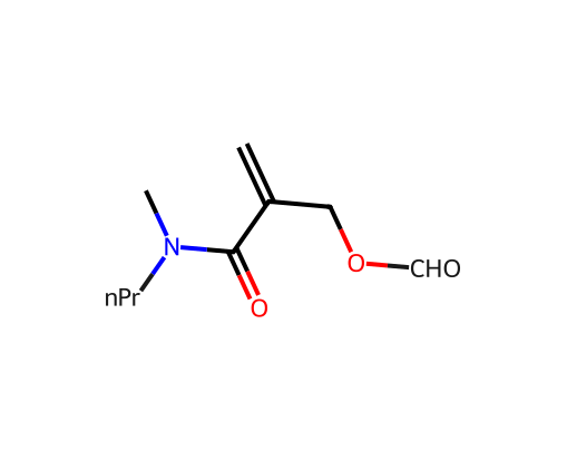 C=C(COC=O)C(=O)N(C)CCC